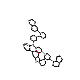 c1cc(-c2ccccc2-c2ccc3ccccc3c2)cc(N(c2ccc(-c3ccc(-c4cccc5ccccc45)cc3)cc2)c2ccccc2-c2ccc3c(c2)sc2ccccc23)c1